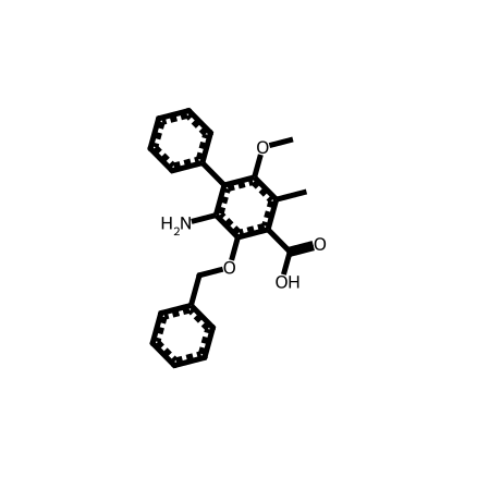 COc1c(C)c(C(=O)O)c(OCc2ccccc2)c(N)c1-c1ccccc1